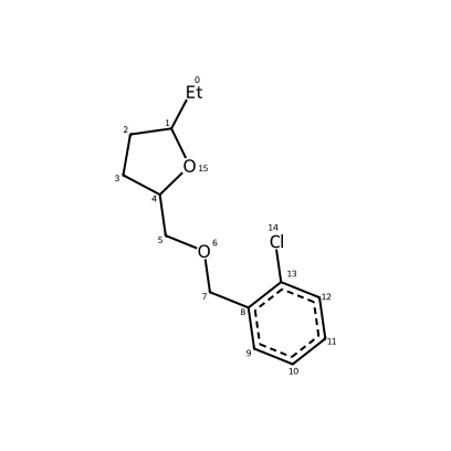 CCC1CCC(COCc2ccccc2Cl)O1